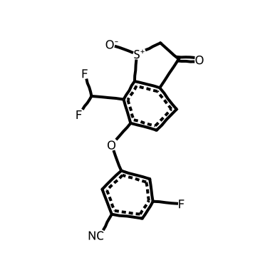 N#Cc1cc(F)cc(Oc2ccc3c(c2C(F)F)[S+]([O-])CC3=O)c1